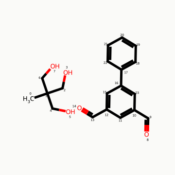 CC(CO)(CO)CO.O=Cc1cc(C=O)cc(-c2ccccc2)c1